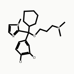 CN(C)CCCOC(c1ccc(Cl)c(Cl)c1)(c1nccn1C)C1CCCCC1